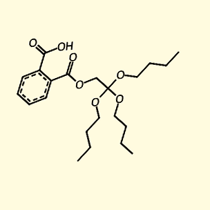 CCCCOC(COC(=O)c1ccccc1C(=O)O)(OCCCC)OCCCC